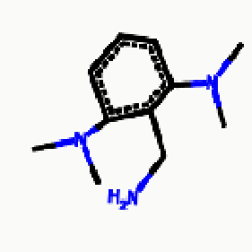 CN(C)c1cccc(N(C)C)c1CN